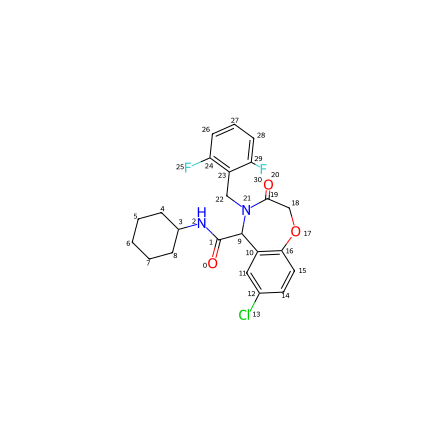 O=C(NC1CCCCC1)C1c2cc(Cl)ccc2OCC(=O)N1Cc1c(F)cccc1F